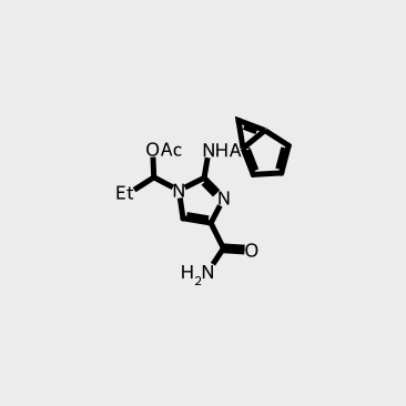 CCC(OC(C)=O)n1cc(C(N)=O)nc1NC(C)=O.c1cc2cc-2c1